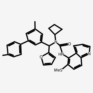 CSc1ccc2ncccc2c1NC(=O)N(C1CCC1)C(c1cc(C)cc(-c2ccc(C)cc2)c1)c1ccco1